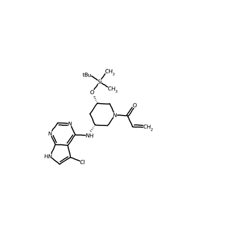 C=CC(=O)N1C[C@H](Nc2ncnc3[nH]cc(Cl)c23)C[C@H](O[Si](C)(C)C(C)(C)C)C1